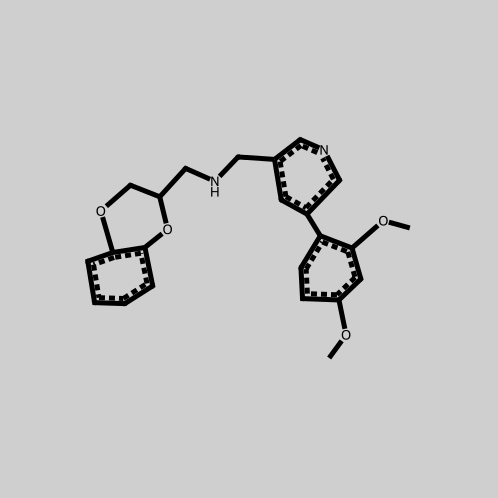 COc1ccc(-c2cncc(CNCC3COc4ccccc4O3)c2)c(OC)c1